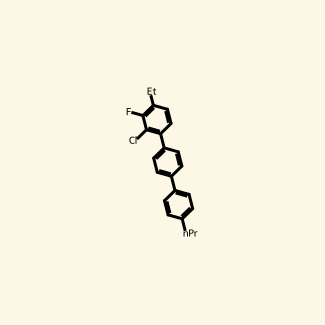 CCCc1ccc(-c2ccc(-c3ccc(CC)c(F)c3Cl)cc2)cc1